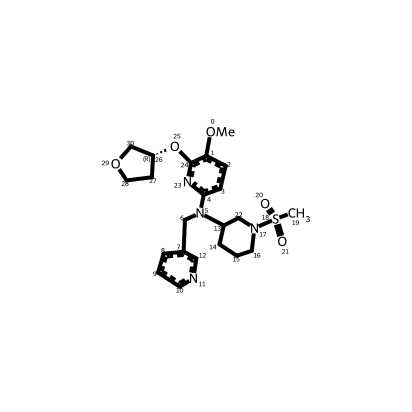 COc1ccc(N(Cc2cccnc2)C2CCCN(S(C)(=O)=O)C2)nc1O[C@@H]1CCOC1